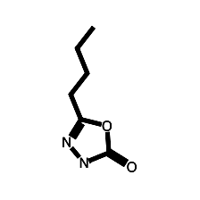 CCCCC1=N[N]C(=O)O1